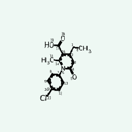 CCc1cc(=O)n(-c2ccc(Cl)cc2)c(C)c1C(=O)O